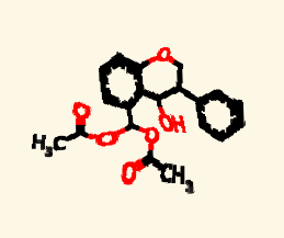 CC(=O)OC(OC(C)=O)c1cccc2c1C(O)C(c1ccccc1)CO2